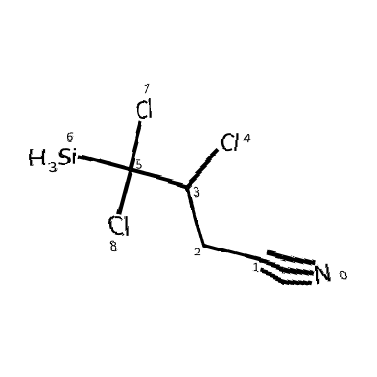 N#CCC(Cl)C([SiH3])(Cl)Cl